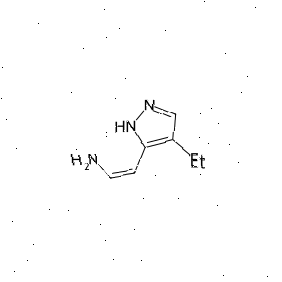 CCc1cn[nH]c1/C=C\N